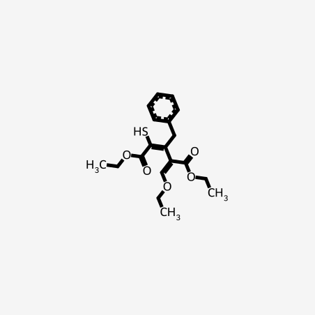 CCOC=C(C(=O)OCC)C(Cc1ccccc1)=C(S)C(=O)OCC